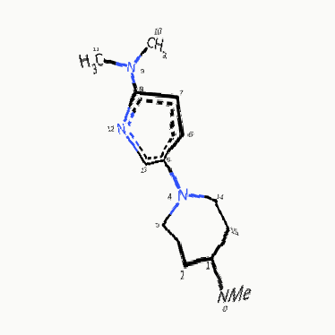 CNC1CCN(c2ccc(N(C)C)nc2)CC1